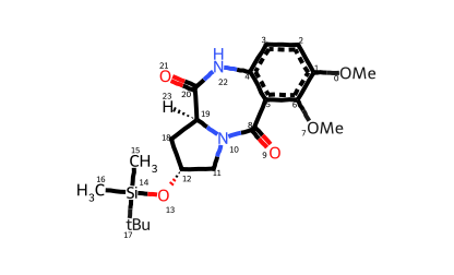 COc1ccc2c(c1OC)C(=O)N1C[C@H](O[Si](C)(C)C(C)(C)C)C[C@H]1C(=O)N2